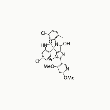 COc1cc(OC)c(-c2nc3c(n2C(C)C)C2(C(=O)Nc4cc(Cl)ccc42)N(c2cc(Cl)ccc2C)C3O)cn1